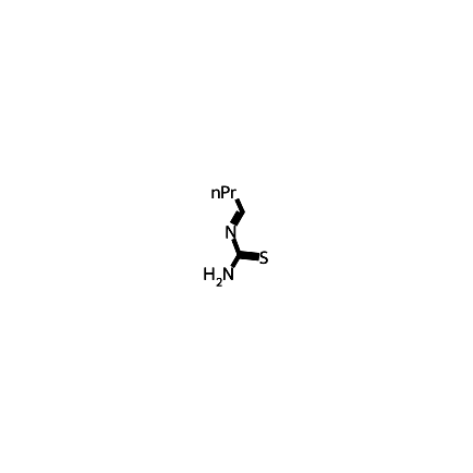 CCCC=NC(N)=S